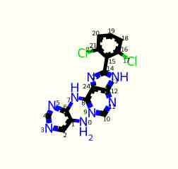 Nc1cncnc1Nc1ncnc2[nH]c(-c3c(Cl)cccc3Cl)nc12